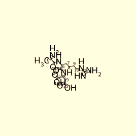 C[C@H](N)C(=O)N[C@@H](CCCCNC(=N)N)C(=O)N[C@@H](CC(=O)O)C(=O)O